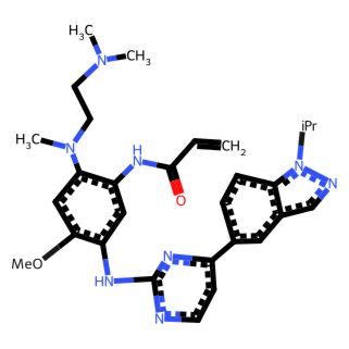 C=CC(=O)Nc1cc(Nc2nccc(-c3ccc4c(cnn4C(C)C)c3)n2)c(OC)cc1N(C)CCN(C)C